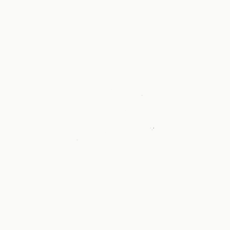 COc1cc(CC(C)(C)C)cc(O)c1O